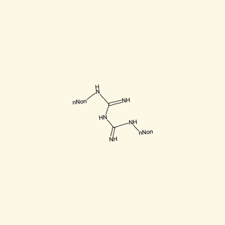 CCCCCCCCCNC(=N)NC(=N)NCCCCCCCCC